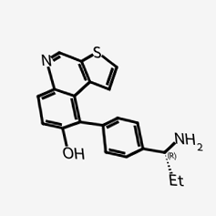 CC[C@@H](N)c1ccc(-c2c(O)ccc3ncc4sccc4c23)cc1